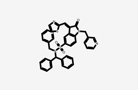 O=C1/C(=C/c2nccs2)c2cc(S(=O)(=O)N(Cc3cccnc3)C(c3ccccc3)c3ccccc3)ccc2N1Cc1cccnc1